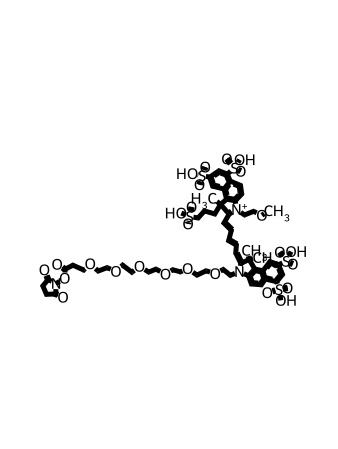 COCC[N+]1=C(/C=C/C=C/C=C2/N(CCOCCOCCOCCOCCOCCOCCC(=O)ON3C(=O)CCC3=O)c3ccc4c(S(=O)(=O)O)cc(S(=O)(=O)O)cc4c3C2(C)C)C(C)(CCCS(=O)(=O)O)c2c1ccc1c(S(=O)(=O)O)cc(S(=O)(=O)O)cc21